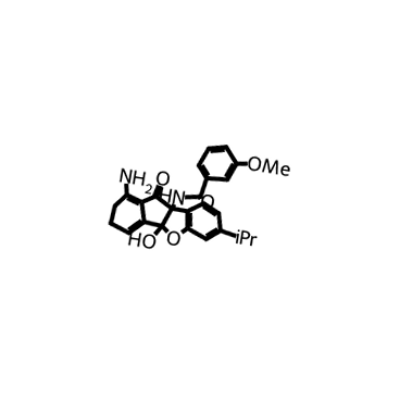 COc1cccc(C(=O)NC23C(=O)C4=C(N)CCC=C4C2(O)Oc2cc(C(C)C)ccc23)c1